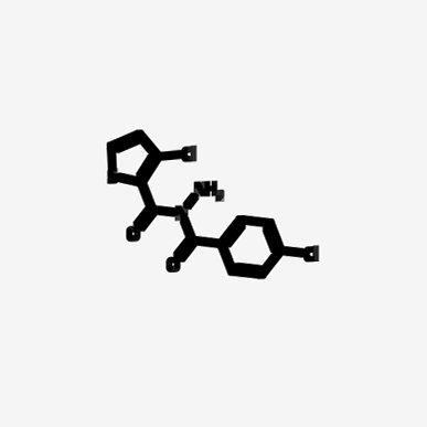 NN(C(=O)c1ccc(Cl)cc1)C(=O)c1sccc1Cl